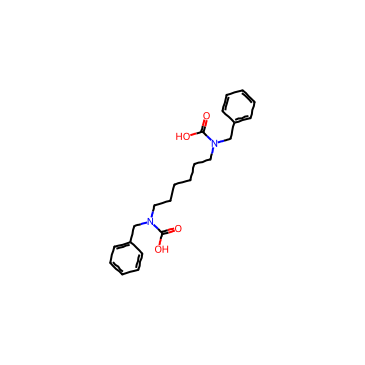 O=C(O)N(CCCCCCN(Cc1ccccc1)C(=O)O)Cc1ccccc1